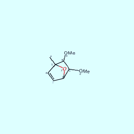 COC1C2C=CC(C)(O2)C1OC